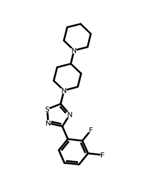 Fc1cccc(-c2nsc(N3CCC(N4CCCCC4)CC3)n2)c1F